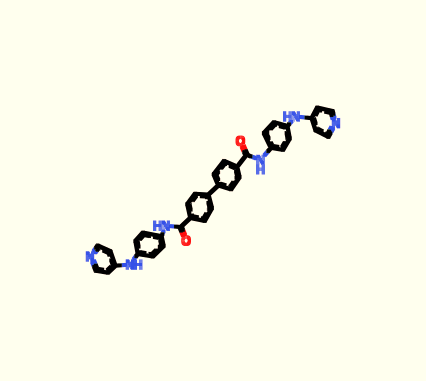 O=C(Nc1ccc(Nc2ccncc2)cc1)c1ccc(-c2ccc(C(=O)Nc3ccc(Nc4ccncc4)cc3)cc2)cc1